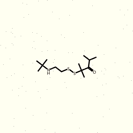 CC(C)C(=O)C(C)(C)SSCCNC(C)(C)C